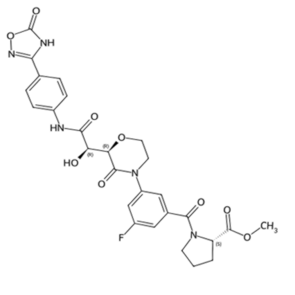 COC(=O)[C@@H]1CCCN1C(=O)c1cc(F)cc(N2CCO[C@H]([C@@H](O)C(=O)Nc3ccc(-c4noc(=O)[nH]4)cc3)C2=O)c1